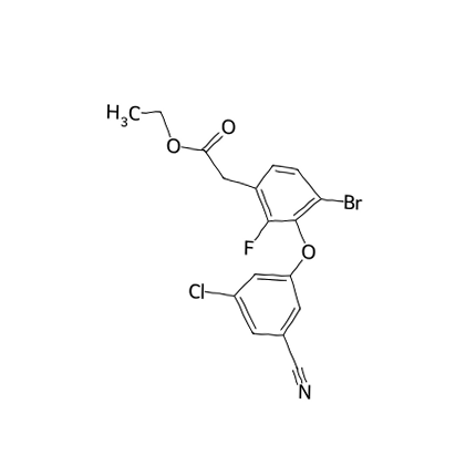 CCOC(=O)Cc1ccc(Br)c(Oc2cc(Cl)cc(C#N)c2)c1F